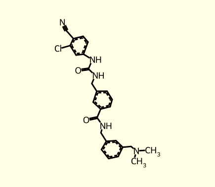 CN(C)Cc1cccc(CNC(=O)c2cccc(CNC(=O)Nc3ccc(C#N)c(Cl)c3)c2)c1